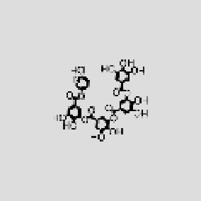 Cl.O=C(Oc1cccnc1)c1cc(O)c(O)c(OC(=O)c2cc(O)c(O)c(OC(=O)c3cc(O)c(O)c(OC(=O)c4cc(O)c(O)c(O)c4)c3)c2)c1